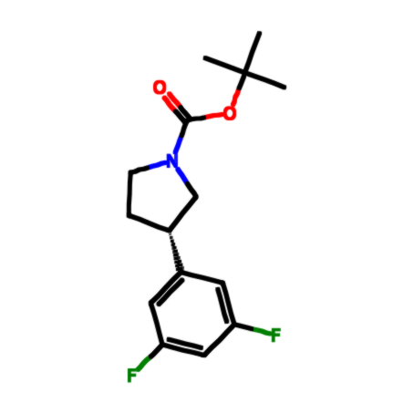 CC(C)(C)OC(=O)N1CC[C@@H](c2cc(F)cc(F)c2)C1